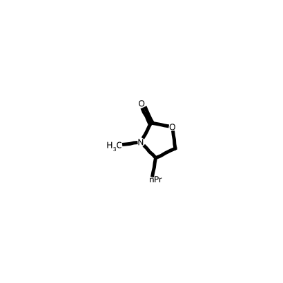 CCCC1COC(=O)N1C